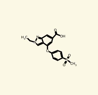 CCn1cc2c(Oc3ccc(S(C)(=O)=O)cc3)cc(C(=O)O)cc2n1